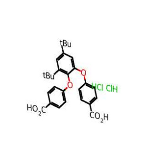 CC(C)(C)c1cc(Oc2ccc(C(=O)O)cc2)c(Oc2ccc(C(=O)O)cc2)c(C(C)(C)C)c1.Cl.Cl